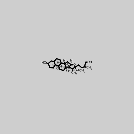 COC1(CCC(C)CO)O[C@H]2C[C@H]3[C@@H]4CCC5CC(O)CC[C@]5(C)[C@H]4CC[C@]3(C)[C@H]2[C@@H]1C